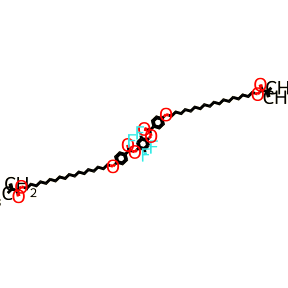 C=C(C)C(=O)OCCCCCCCCCCCCCCCCCCOc1ccc(C(=O)Oc2c(F)c(F)c(OC(=O)c3ccc(OCCCCCCCCCCCCCCCCCCOC(=O)C(=C)C)cc3)c(F)c2F)cc1